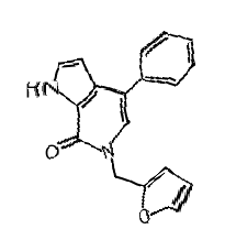 O=c1c2[nH]ccc2c(-c2ccccc2)cn1Cc1ccco1